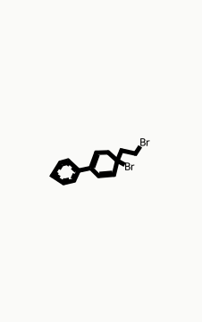 BrCCC1(Br)C=CC(c2ccccc2)=CC1